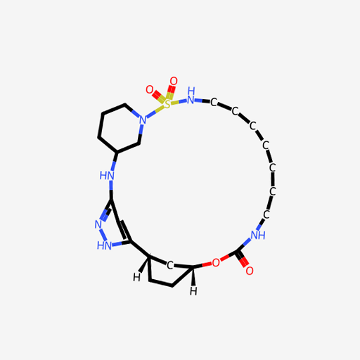 O=C1NCCCCCCCNS(=O)(=O)N2CCCC(C2)Nc2cc([nH]n2)[C@H]2CC[C@H](C2)O1